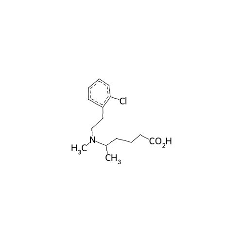 CC(CCCC(=O)O)N(C)CCc1ccccc1Cl